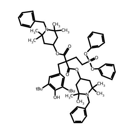 CC(C)(C)c1cc(CC(CCP(=O)(Oc2ccccc2)Oc2ccccc2)(C(=O)OC2CC(C)(C)N(Cc3ccccc3)C(C)(C)C2)C(=O)OC2CC(C)(C)N(Cc3ccccc3)C(C)(C)C2)cc(C(C)(C)C)c1O